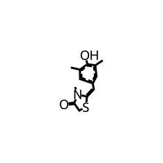 Cc1cc(C=C2SCC(=O)N2C)cc(C)c1O